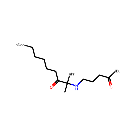 CCCCCCCCCCCCCCCC(=O)C(C)(CCC)NCCCC(=O)C(C)CC